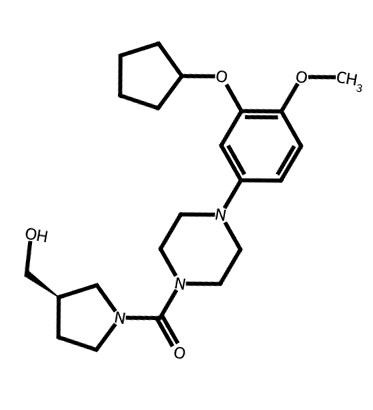 COc1ccc(N2CCN(C(=O)N3CC[C@@H](CO)C3)CC2)cc1OC1CCCC1